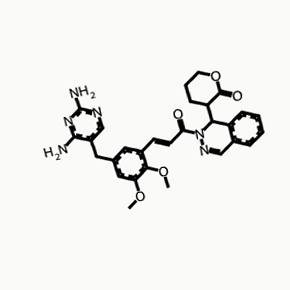 COc1cc(Cc2cnc(N)nc2N)cc(C=CC(=O)N2N=Cc3ccccc3C2C2CCCOC2=O)c1OC